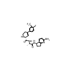 C[C@H](NC(=O)[C@H]1C=C(c2ccc(F)c(C(F)(F)F)c2)CCN1)C(=O)N[C@@H]1CCc2nc(N)ccc21